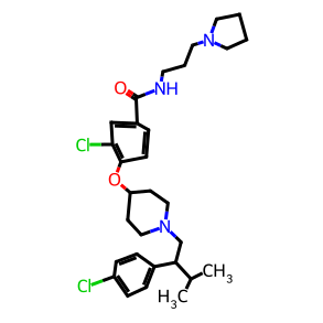 CC(C)C(CN1CCC(Oc2ccc(C(=O)NCCCN3CCCC3)cc2Cl)CC1)c1ccc(Cl)cc1